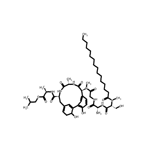 CCCCCCCCCCCCCCCC(=O)N(C)[C@H](CO)C(=O)N[C@H](N)C(=O)NCC(=O)N(C)[C@@H]1C(=O)N[C@@H](C)C(=O)N[C@H](C(=O)N[C@H](C)C(=O)OCC(C)C)CC2=CCC(O)C(=C2)c2cc1ccc2O